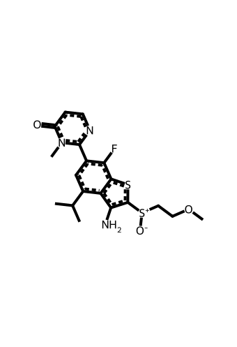 COCC[S+]([O-])c1sc2c(F)c(-c3nccc(=O)n3C)cc(C(C)C)c2c1N